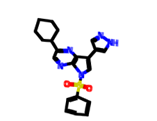 O=S(=O)(c1ccccc1)n1cc(-c2cn[nH]c2)c2nc(C3CCCCC3)cnc21